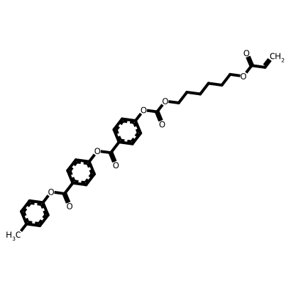 C=CC(=O)OCCCCCCOC(=O)Oc1ccc(C(=O)Oc2ccc(C(=O)Oc3ccc(C)cc3)cc2)cc1